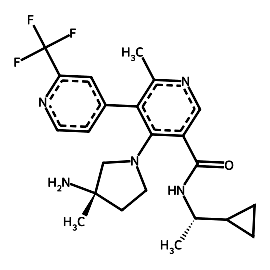 Cc1ncc(C(=O)N[C@@H](C)C2CC2)c(N2CC[C@](C)(N)C2)c1-c1ccnc(C(F)(F)F)c1